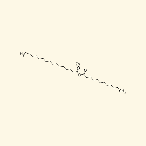 CCCCCCCCCCCCCCCC(=O)OC(=O)CCCCCCCCCCC.[Zn]